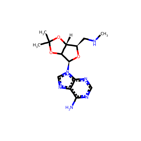 CNC[C@H]1O[C@@H](n2cnc3c(N)ncnc32)C2OC(C)(C)O[C@@H]21